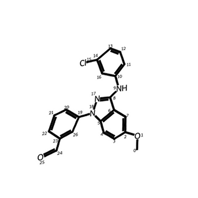 COc1ccc2c(c1)c(Nc1cccc(Cl)c1)nn2-c1cccc(C=O)c1